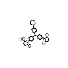 O=C1C=CC(=O)N1c1ccc(C(c2ccc(C3CCCCC3)cc2)c2ccc(N3C(=O)C=CC3O)cc2)cc1